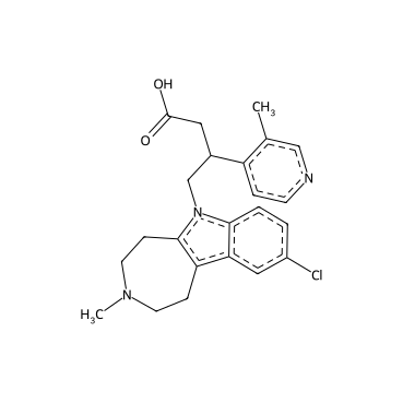 Cc1cnccc1C(CC(=O)O)Cn1c2c(c3cc(Cl)ccc31)CCN(C)CC2